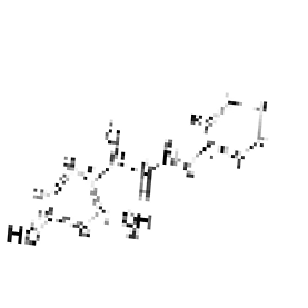 O=C(NN=Cc1ccccc1)c1ccc(O)cc1O